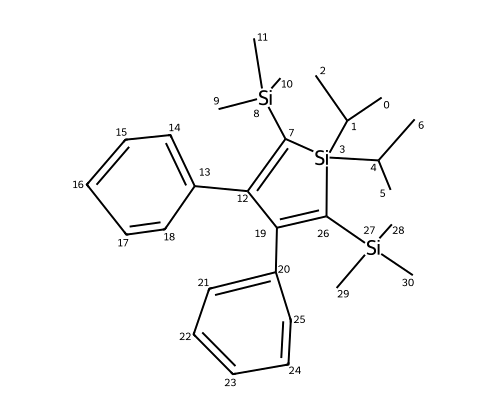 CC(C)[Si]1(C(C)C)C([Si](C)(C)C)=C(c2ccccc2)C(c2ccccc2)=C1[Si](C)(C)C